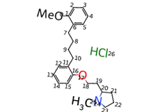 COc1ccccc1CCCCc1ccccc1OCCC1CCCN1C.Cl